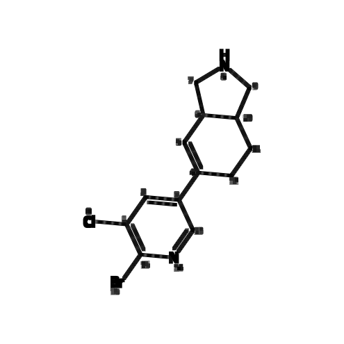 Clc1cc(C2=CC3CNCC3CC2)cnc1Br